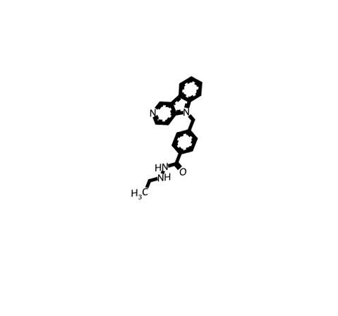 CCNNC(=O)c1ccc(Cn2c3ccccc3c3cnccc32)cc1